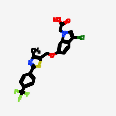 Cc1nc(-c2ccc(C(F)(F)F)cc2)sc1COc1ccc2c(Cl)cn(CC(=O)O)c2c1